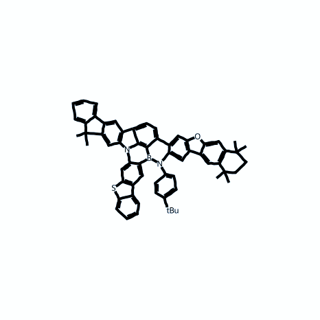 CC(C)(C)c1ccc(N2B3c4cc5c(cc4-n4c6cc7c(cc6c6ccc(c3c64)-c3cc4oc6cc8c(cc6c4cc32)C(C)(C)CCC8(C)C)-c2ccccc2C7(C)C)sc2ccccc25)cc1